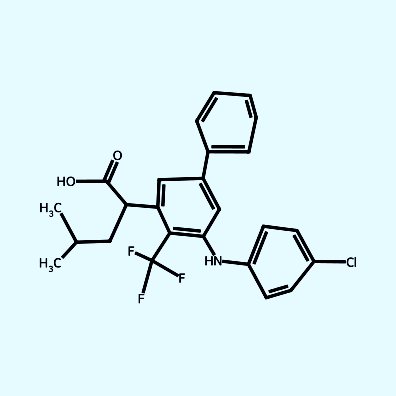 CC(C)CC(C(=O)O)c1cc(-c2ccccc2)cc(Nc2ccc(Cl)cc2)c1C(F)(F)F